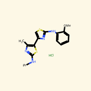 COc1ccccc1Nc1nc(-c2sc(NC(C)C)nc2C)cs1.Cl